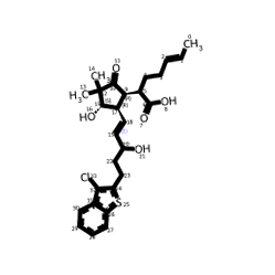 CC=CCCC(C(=O)O)[C@@H]1C(=O)C(C)(C)[C@@H](O)[C@@H]1/C=C/C(O)CCc1sc2ccccc2c1Cl